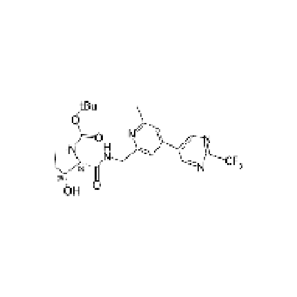 Cc1cc(-c2cnc(C(F)(F)F)nc2)cc(CNC(=O)[C@@H]2[C@H](O)CCN2C(=O)OC(C)(C)C)n1